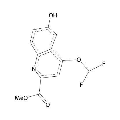 COC(=O)c1cc(OC(F)F)c2cc(O)ccc2n1